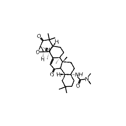 CN(C)C(=O)N[C@]12CCC(C)(C)C[C@@H]1C1C(=O)C=C3[C@@]4(C)[C@H]5O[C@@]5(C#N)C(=O)C(C)(C)[C@@H]4CC[C@@]3(C)[C@]1(C)CC2